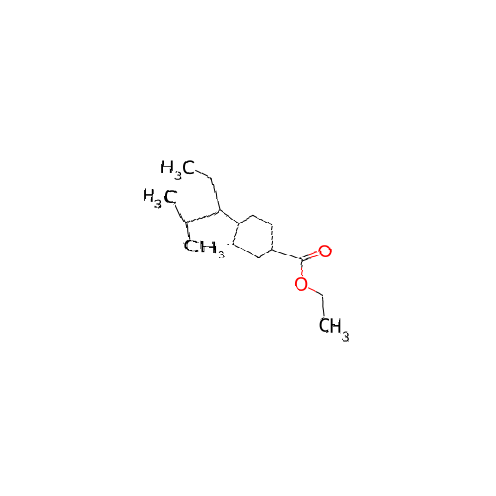 CCOC(=O)C1C[CH]C(C(CC)C(C)C)CC1